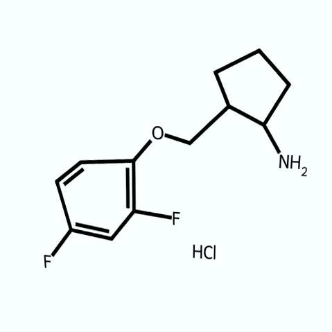 Cl.NC1CCCC1COc1ccc(F)cc1F